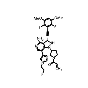 C=CC(=O)N1CC[C@H](N2N[C@@H](C#Cc3c(F)c(OC)cc(OC)c3F)c3c(N)ncc(-c4cn(CCF)cn4)c32)C1